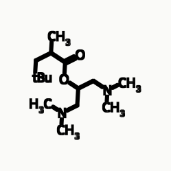 CC(CC(C)(C)C)C(=O)OC(CN(C)C)CN(C)C